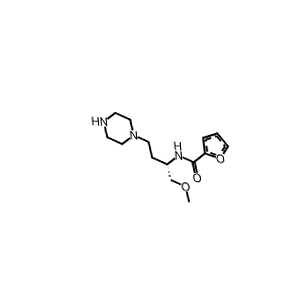 COC[C@H](CCN1CCNCC1)NC(=O)c1ccco1